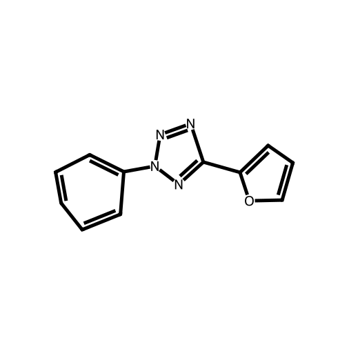 c1ccc(-n2nnc(-c3ccco3)n2)cc1